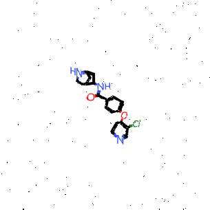 O=C(NC1CC2CC1CN2)c1ccc(Oc2ccncc2Cl)cc1